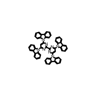 c1ccc2c(c1)c1ccccc1n2-c1cc(-n2c3ccccc3c3ccccc32)nc(-c2nc(-n3c4ccccc4c4ccccc43)cc(-n3c4ccccc4c4ccccc43)n2)n1